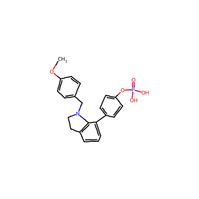 COc1ccc(CN2CCc3cccc(-c4ccc(OP(=O)(O)O)cc4)c32)cc1